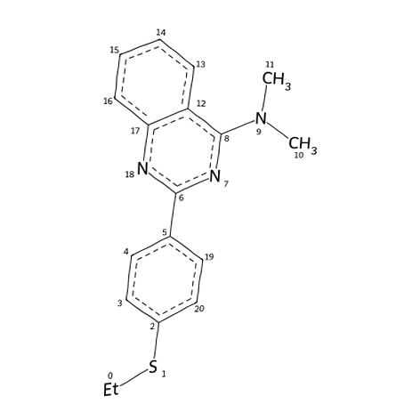 CCSc1ccc(-c2nc(N(C)C)c3ccccc3n2)cc1